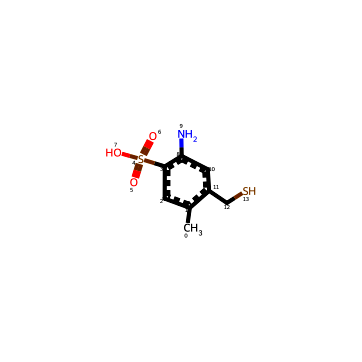 Cc1cc(S(=O)(=O)O)c(N)cc1CS